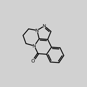 O=c1c2ccccc2c2cnn3c2n1CCC3